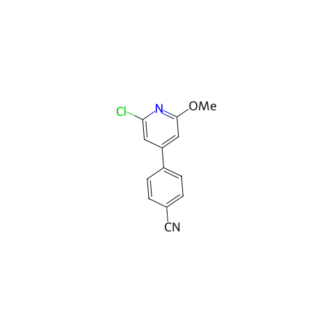 COc1cc(-c2ccc(C#N)cc2)cc(Cl)n1